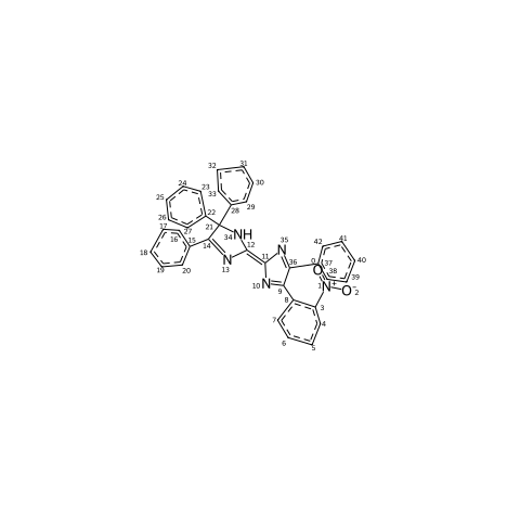 O=[N+]([O-])c1ccccc1C1=NC(=C2N=C(c3ccccc3)C(c3ccccc3)(c3ccccc3)N2)N=C1c1ccccc1